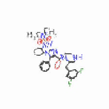 CN(C)S(=O)(=O)NC1CCCC[C@@H]1n1cnc(C(=O)N2CCNC[C@H]2Cc2cc(F)cc(F)c2)c1-c1ccccc1